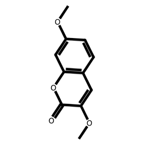 COc1ccc2cc(OC)c(=O)oc2c1